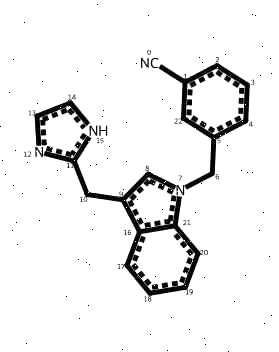 N#Cc1cccc(Cn2cc(Cc3ncc[nH]3)c3ccccc32)c1